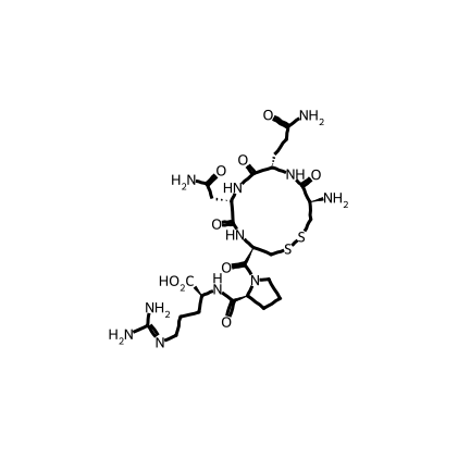 NC(=O)CC[C@@H]1NC(=O)[C@@H](N)CSSC[C@@H](C(=O)N2CCC[C@H]2C(=O)N[C@@H](CCCN=C(N)N)C(=O)O)NC(=O)[C@H](CC(N)=O)NC1=O